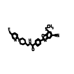 CSc1cc(C#N)cc2nc(-c3ccc(C(=O)NCC4CCN(c5ccc(CF)cn5)CC4)cc3)oc12